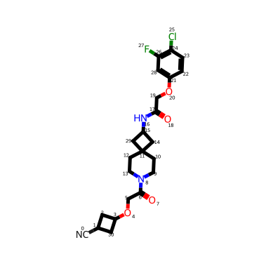 N#CC1CC(OCC(=O)N2CCC3(CC2)CC(NC(=O)COc2ccc(Cl)c(F)c2)C3)C1